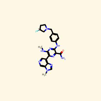 CNc1nc(Nc2ccc(CN3CC[C@H](F)C3)cc2)c(C(N)=O)nc1-c1cncc2c1ncn2C